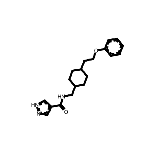 O=C(NCC1CCC(CCOc2ccccc2)CC1)c1cn[nH]c1